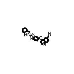 N#Cc1ccc2nccc(Oc3ccc4nc(NCC5CCCCC5)sc4c3)c2c1